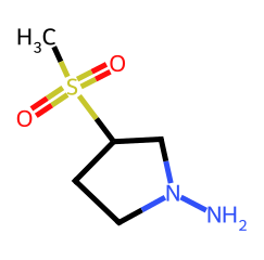 CS(=O)(=O)C1CCN(N)C1